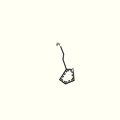 CC(C)CCc1cccs1